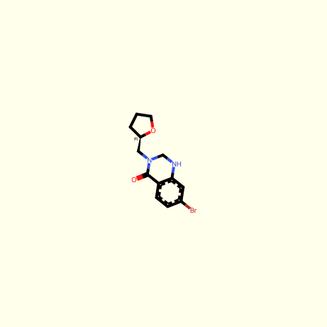 O=C1c2ccc(Br)cc2NCN1C[C@H]1CCCO1